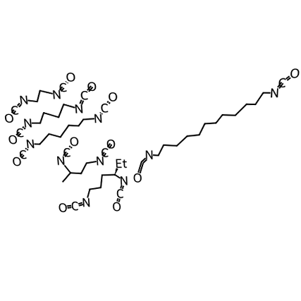 CC(CCN=C=O)N=C=O.CC[C@H](CCCN=C=O)N=C=O.O=C=NCCCCCCCCCCCCN=C=O.O=C=NCCCCCCN=C=O.O=C=NCCCCN=C=O.O=C=NCCN=C=O